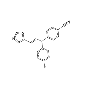 N#Cc1ccc(C(C=Cc2cncs2)c2ccc(F)cc2)cc1